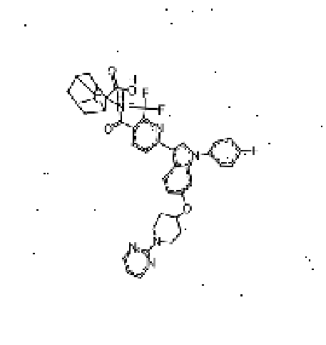 O=C(NC1(C(=O)O)C2CC3CC(C2)CC1C3)c1ccc(-c2cn(-c3ccc(F)cc3)c3cc(OC4CCN(c5ncccn5)CC4)ccc23)nc1C(F)(F)F